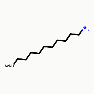 CC(=O)NCCCCCCCCCCN